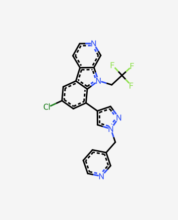 FC(F)(F)Cn1c2cnccc2c2cc(Cl)cc(-c3cnn(Cc4cccnc4)c3)c21